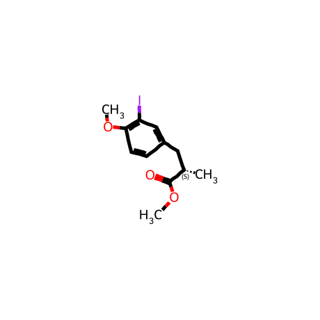 COC(=O)[C@@H](C)Cc1ccc(OC)c(I)c1